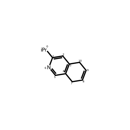 CC(C)c1cc2c(cn1)CC=CC2